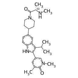 CN[C@@H](C)C(=O)N1CCC(c2ccc3[nH]c(-c4cc(C)c(=O)n(C)c4)c(C(C)C)c3c2)CC1